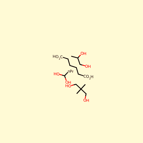 CC(C)(CO)CO.CC(O)CO.CCCC(O)O.O=C(O)CCCCC(=O)O